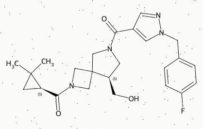 CC1(C)C[C@@H]1C(=O)N1CC2(CN(C(=O)c3cnn(Cc4ccc(F)cc4)c3)C[C@H]2CO)C1